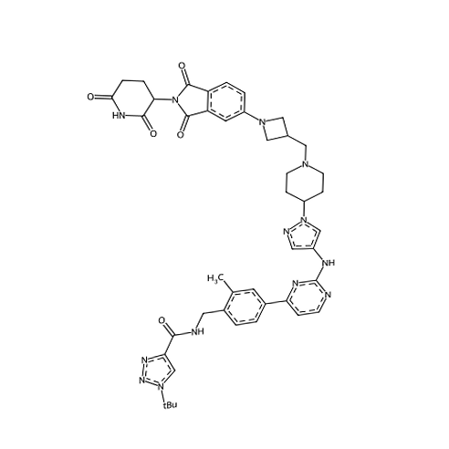 Cc1cc(-c2ccnc(Nc3cnn(C4CCN(CC5CN(c6ccc7c(c6)C(=O)N(C6CCC(=O)NC6=O)C7=O)C5)CC4)c3)n2)ccc1CNC(=O)c1cn(C(C)(C)C)nn1